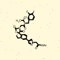 CNC(=O)Cn1cc(-c2ccc3c(c2)CC[C@@]32OC(=O)N(CC(=O)N(Cc3ccc(F)c(F)c3)[C@@H](C)C(F)(F)F)C2=O)cn1